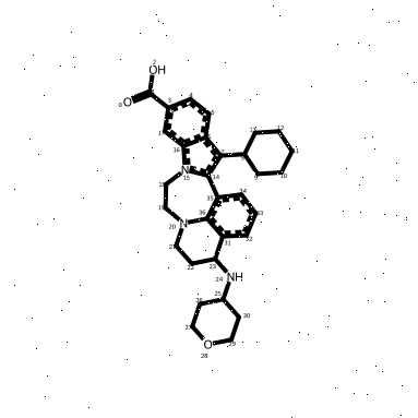 O=C(O)c1ccc2c(C3CCCCC3)c3n(c2c1)CCN1CCC(NC2CCOCC2)c2cccc-3c21